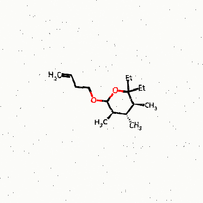 C=CCCOC1OC(CC)(CC)[C@@H](C)[C@H](C)[C@H]1C